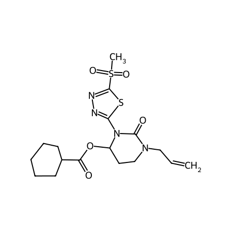 C=CCN1CCC(OC(=O)C2CCCCC2)N(c2nnc(S(C)(=O)=O)s2)C1=O